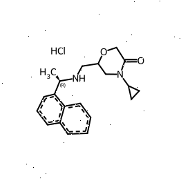 C[C@@H](NCC1CN(C2CC2)C(=O)CO1)c1cccc2ccccc12.Cl